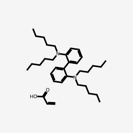 C=CC(=O)O.CCCCCN(CCCCC)c1ccccc1-c1ccccc1N(CCCCC)CCCCC